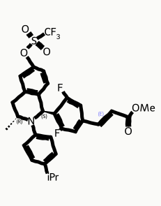 COC(=O)/C=C/c1cc(F)c([C@@H]2c3ccc(OS(=O)(=O)C(F)(F)F)cc3C[C@@H](C)N2c2ccc(C(C)C)cc2)c(F)c1